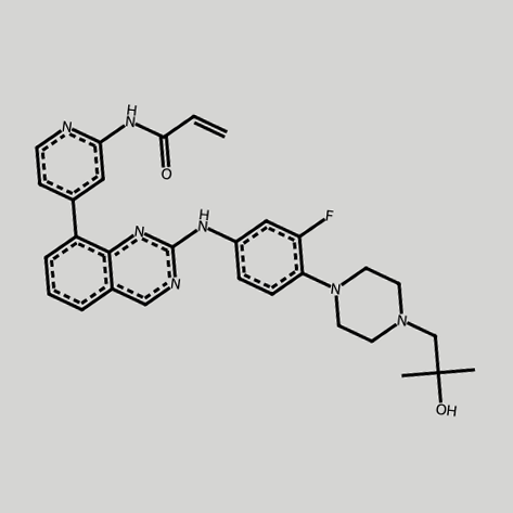 C=CC(=O)Nc1cc(-c2cccc3cnc(Nc4ccc(N5CCN(CC(C)(C)O)CC5)c(F)c4)nc23)ccn1